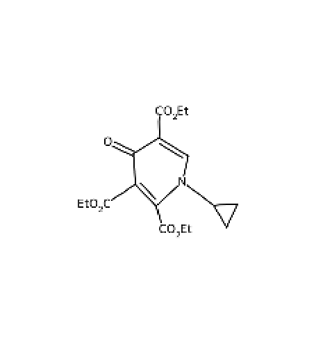 CCOC(=O)c1cn(C2CC2)c(C(=O)OCC)c(C(=O)OCC)c1=O